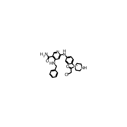 NC(=O)c1cnc(Nc2ccc([N+]3(C(=O)CCl)CCNCC3)cc2)cc1NCc1ccccc1